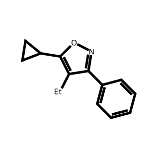 [CH2]Cc1c(-c2ccccc2)noc1C1CC1